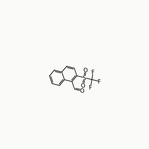 O=Cc1c(S(=O)(=O)C(F)(F)F)ccc2ccccc12